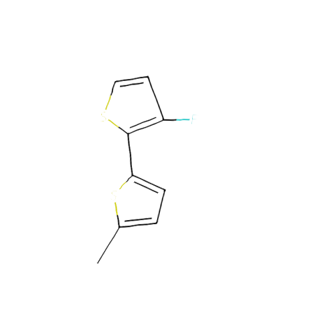 Cc1ccc(-c2sccc2F)s1